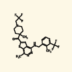 Cc1c(CNc2nnc(C)c3sc(C(=O)C4(C)CCN(CC(F)(F)F)CC4)cc23)cccc1C(F)(F)F